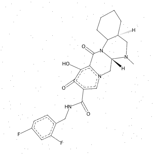 CN1C[C@@H]2CCCCC2N2C(=O)c3c(O)c(=O)c(C(=O)NCc4ccc(F)cc4F)cn3C[C@@H]12